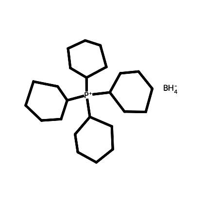 C1CCC([P+](C2CCCCC2)(C2CCCCC2)C2CCCCC2)CC1.[BH4-]